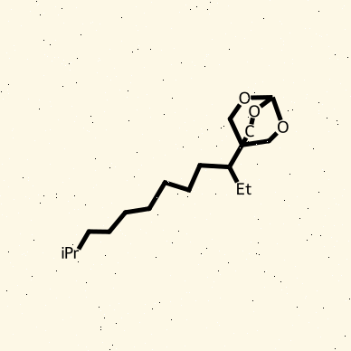 CCC(CCCCCCCC(C)C)C12COC(OC1)OC2